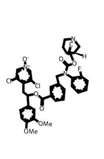 COc1ccc(C(Cc2c(Cl)c[n+]([O-])cc2Cl)OC(=O)c2cccc(CN(C(=O)O[C@H]3CN4CCC3CC4)c3ccccc3F)c2)cc1OC